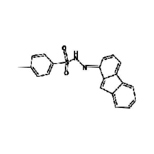 Cc1ccc(S(=O)(=O)NN=C2C=CC=C3C2=Cc2ccccc23)cc1